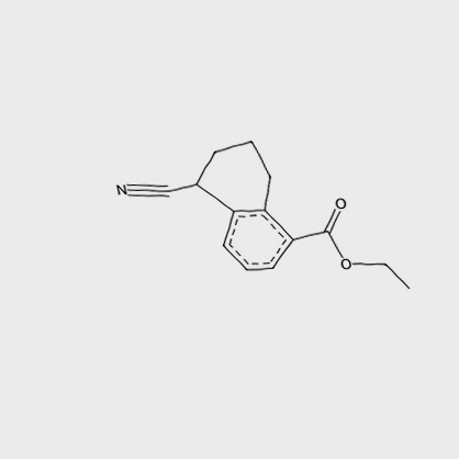 CCOC(=O)c1cccc2c1CCCC2C#N